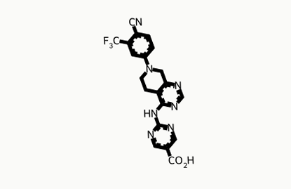 N#Cc1ccc(N2CCc3c(ncnc3Nc3ncc(C(=O)O)cn3)C2)cc1C(F)(F)F